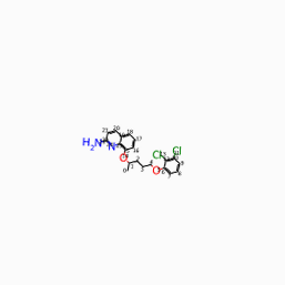 CC(CCCOc1cccc(Cl)c1Cl)Oc1cccc2ccc(N)nc12